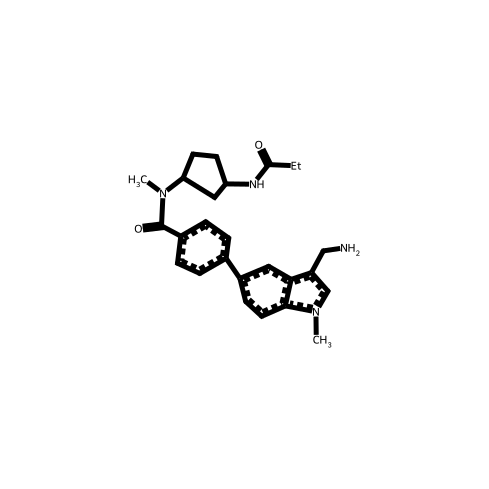 CCC(=O)NC1CCC(N(C)C(=O)c2ccc(-c3ccc4c(c3)c(CN)cn4C)cc2)C1